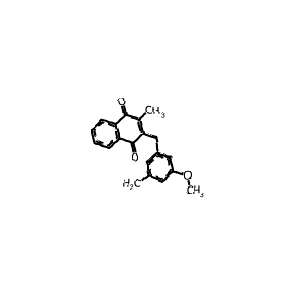 COc1cc(C)cc(CC2=C(C)C(=O)c3ccccc3C2=O)c1